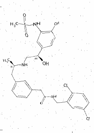 C[C@H](Cc1cccc(CC(=O)NCc2cc(Cl)ccc2Cl)c1)NC[C@H](O)c1ccc(O)c(NS(C)(=O)=O)c1